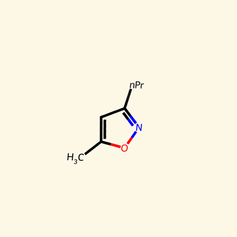 CCCc1cc(C)on1